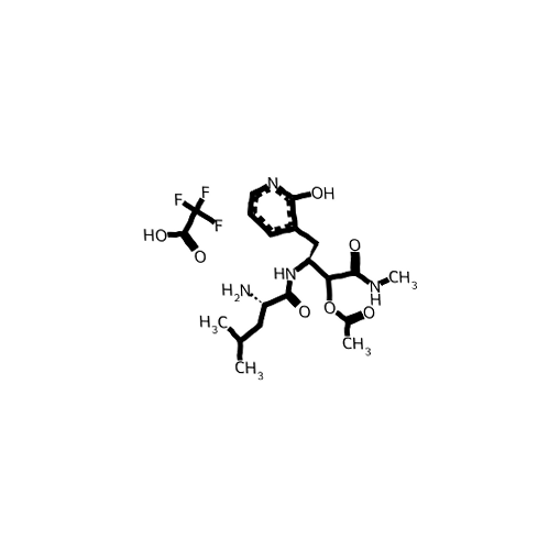 CNC(=O)C(OC(C)=O)[C@H](Cc1cccnc1O)NC(=O)[C@@H](N)CC(C)C.O=C(O)C(F)(F)F